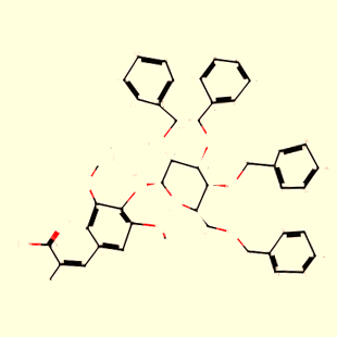 COc1cc(C=C(C)C(=O)O)cc(OC)c1O[C@@H]1O[C@H](COCc2ccccc2)[C@H](OCc2ccccc2)[C@H](OCc2ccccc2)[C@H]1OCc1ccccc1